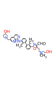 Cc1c(Nc2nccc3cc(CN4CCC(O)C4)cnc23)cccc1-c1cccc(-c2nc(C=O)c(CCN(C)CCO)o2)c1C